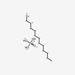 CCCCCCCCCCC[CH2][Cu].O=P(O)(O)O